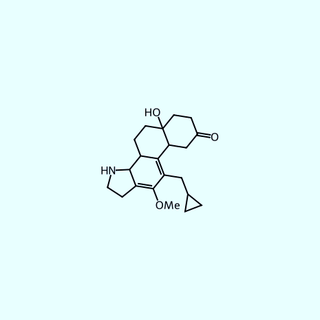 COC1=C2CCNC2C2CCC3(O)CCC(=O)CC3C2=C1CC1CC1